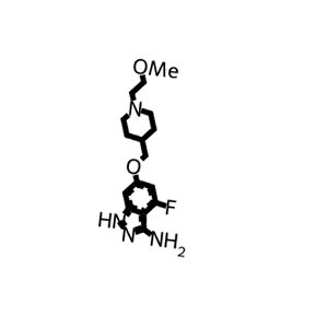 COCCN1CCC(COc2cc(F)c3c(N)n[nH]c3c2)CC1